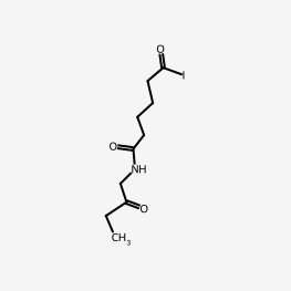 CCC(=O)CNC(=O)CCCCC(=O)I